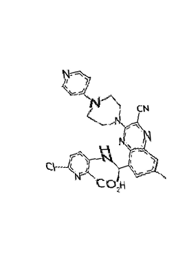 Cc1cc([C@@H](C)Nc2ccc(Cl)nc2C(=O)O)c2nc(N3CCN(c4ccncc4)CC3)c(C#N)nc2c1